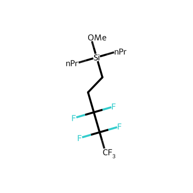 CCC[Si](CCC)(CCC(F)(F)C(F)(F)C(F)(F)F)OC